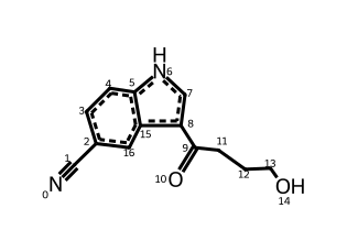 N#Cc1ccc2[nH]cc(C(=O)CCCO)c2c1